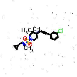 CN(CC1CC1)S(=O)(=O)N1CC/C(=C\C#Cc2cccc(Cl)c2)C(C)(C)C1